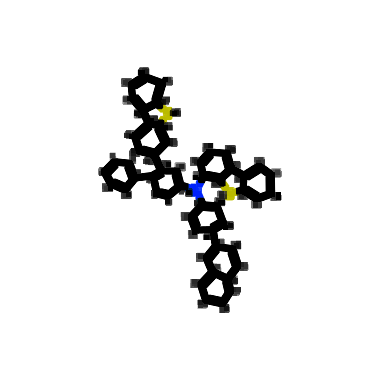 c1ccc(-c2ccc(N(c3ccc(-c4ccc5ccccc5c4)cc3)c3cccc4c3sc3ccccc34)cc2-c2ccc3c(c2)sc2ccccc23)cc1